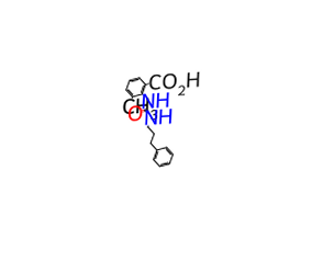 Cc1cccc(C(=O)O)c1NC(=O)NCCCc1ccccc1